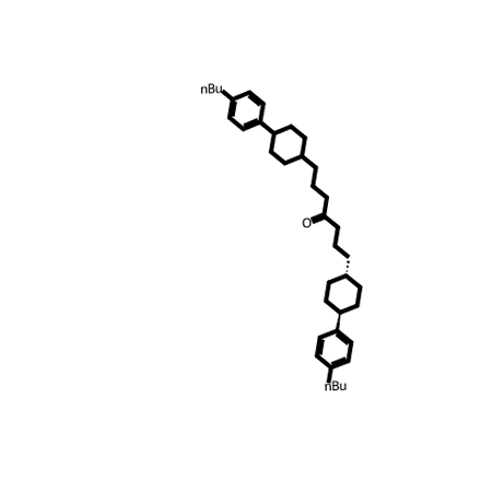 CCCCc1ccc(C2CCC(CCCC(=O)CCC[C@H]3CC[C@H](c4ccc(CCCC)cc4)CC3)CC2)cc1